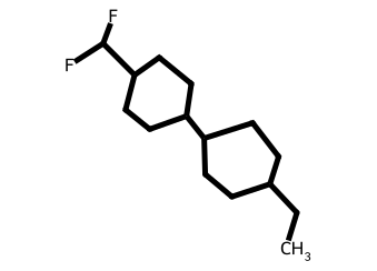 CCC1CCC(C2CCC(C(F)F)CC2)CC1